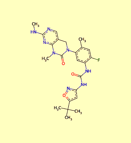 CNc1ncc2c(n1)N(C)C(=O)N(c1cc(NC(=O)Nc3cc(C(C)(C)C)on3)c(F)cc1C)C2